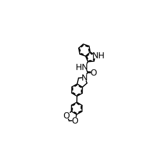 O=C(Nc1c[nH]c2ccccc12)N1Cc2ccc(-c3ccc4c(c3)OCO4)cc2C1